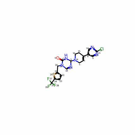 O=C1NC(N2CC=C(c3cnc(Cl)nc3)CC2)N=CN1Cc1ccc(C(F)(F)F)s1